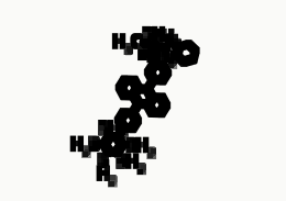 Bc1c(B)c(B)c(-c2ccc(-c3c4ccccc4c(-c4ccc(-n5c(C(B)(B)C(B)(B)C)nc6c5C=CCC6)cc4)c4ccccc34)cc2)c(B)c1B